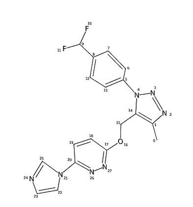 Cc1nnn(-c2ccc(C(F)F)cc2)c1COc1ccc(-n2ccnc2)nn1